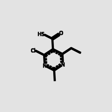 CCc1nc(C)nc(Cl)c1C(=O)S